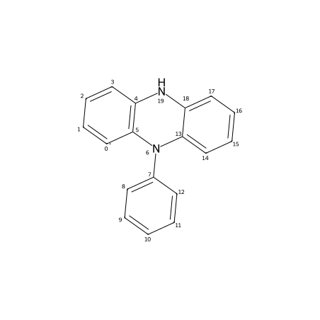 [c]1cccc2c1N(c1ccccc1)c1ccccc1N2